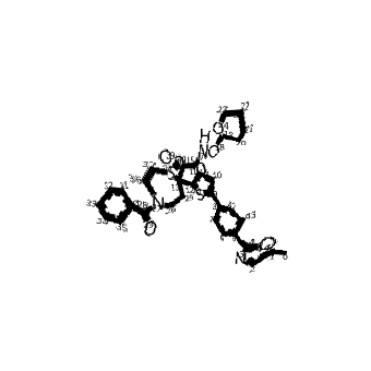 Cc1cnc(-c2ccc(-c3ccc(C4(CC(=O)NOC5CCCCO5)CCN(C(=O)c5ccccc5)CCS4(=O)=O)s3)cc2)o1